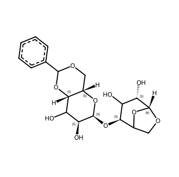 OC1[C@H](O[C@@H]2O[C@H]3COC(c4ccccc4)O[C@H]3C(O)[C@@H]2O)C2CO[C@H](O2)[C@H]1O